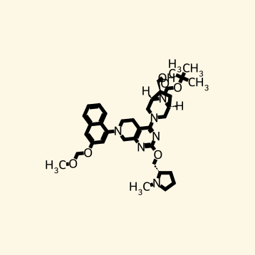 COCOc1cc(N2CCc3c(nc(OC[C@@H]4CCCN4C)nc3N3C[C@@H]4C[C@H](CO)[C@H](C3)N4C(=O)OC(C)(C)C)C2)c2ccccc2c1